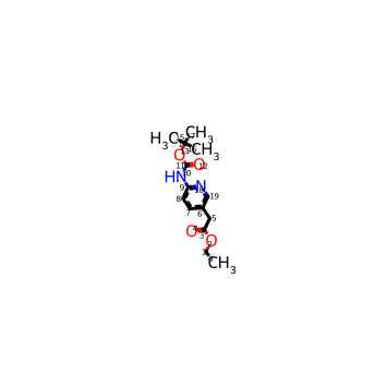 CCOC(=O)Cc1ccc(NC(=O)OC(C)(C)C)nc1